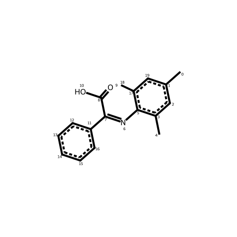 Cc1cc(C)c(N=C(C(=O)O)c2ccccc2)c(C)c1